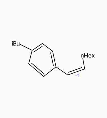 CCCCCC/C=[C]\c1ccc(C(C)CC)cc1